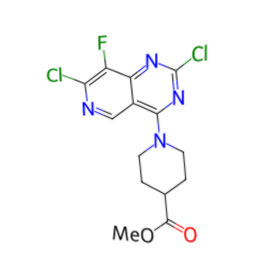 COC(=O)C1CCN(c2nc(Cl)nc3c(F)c(Cl)ncc23)CC1